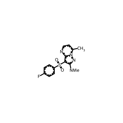 CNc1nn2c(C)ccnc2c1S(=O)(=O)c1ccc(F)cc1